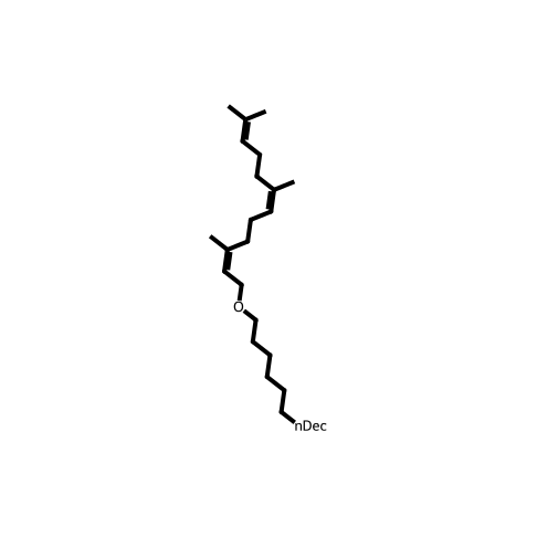 CCCCCCCCCCCCCCCCOCC=C(C)CCC=C(C)CCC=C(C)C